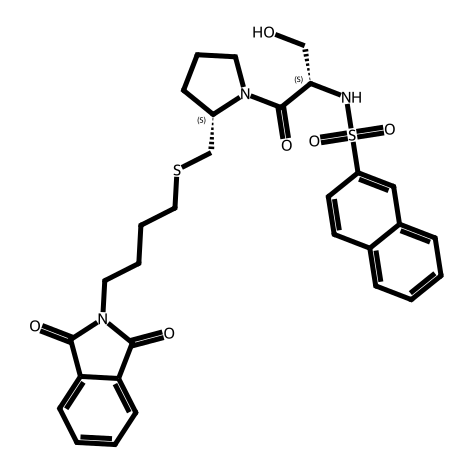 O=C1c2ccccc2C(=O)N1CCCCSC[C@@H]1CCCN1C(=O)[C@H](CO)NS(=O)(=O)c1ccc2ccccc2c1